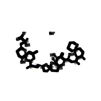 C=C1[C@@H](O)[C@@H]2O[C@]3(CC[C@H](/C=C/[C@@H](C)[C@@H]4CC(C)=C[C@@]5(O[C@H](C[C@@](C)(O)C(=O)[O-])CC[C@H]5O)O4)O3)CC[C@H]2O[C@@H]1[C@@H](O)C[C@H](C)[C@H]1O[C@@]2(CCCCO2)CC[C@H]1C.[Na+]